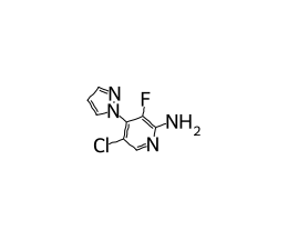 Nc1ncc(Cl)c(-n2cccn2)c1F